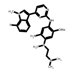 COc1cc(N(C)CCN(C)C)c(N)cc1Nc1nccc(-c2cn(C)c3c(F)cccc23)n1